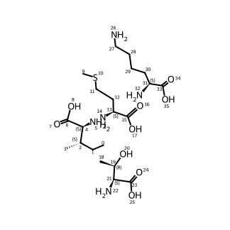 CC[C@H](C)[C@H](N)C(=O)O.CSCC[C@H](N)C(=O)O.C[C@@H](O)[C@H](N)C(=O)O.NCCCC[C@H](N)C(=O)O